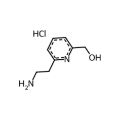 Cl.NCCc1cccc(CO)n1